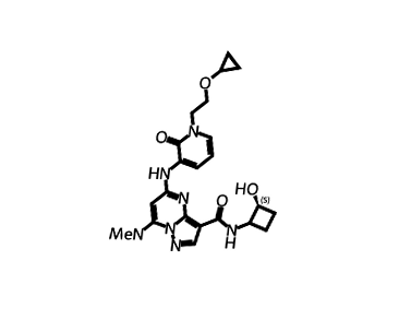 CNc1cc(Nc2cccn(CCOC3CC3)c2=O)nc2c(C(=O)NC3CC[C@@H]3O)cnn12